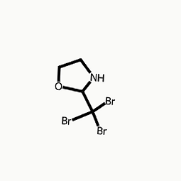 BrC(Br)(Br)C1NCCO1